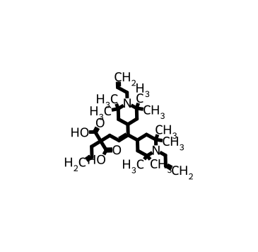 C=CCN1C(C)(C)CC(C(=CCC(CC=C)(C(=O)O)C(=O)O)C2CC(C)(C)N(CC=C)C(C)(C)C2)CC1(C)C